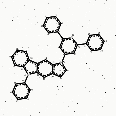 c1ccc(-c2cc(-n3ccc4cc5c(cc43)c3ccccc3n5-c3ccccc3)cc(-c3ccccc3)n2)cc1